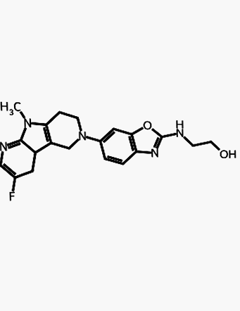 CN1C2=NC=C(F)CC2C2=C1CCN(c1ccc3nc(NCCO)oc3c1)C2